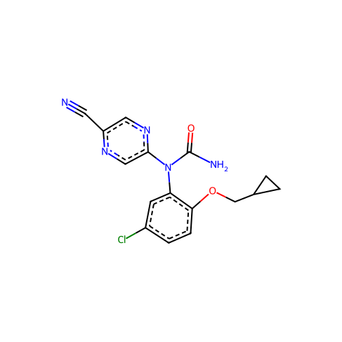 N#Cc1cnc(N(C(N)=O)c2cc(Cl)ccc2OCC2CC2)cn1